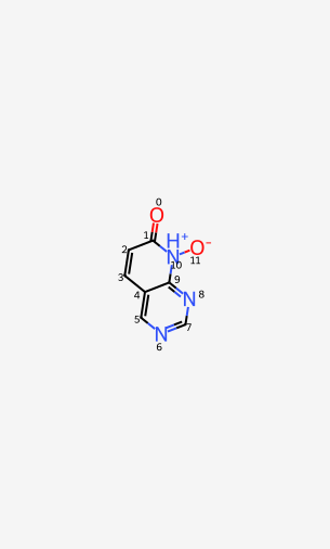 O=C1C=Cc2cncnc2[NH+]1[O-]